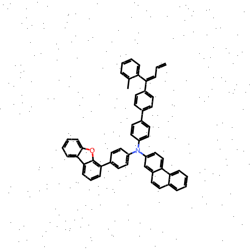 C=C/C=C(/c1ccc(-c2ccc(N(c3ccc(-c4cccc5c4oc4ccccc45)cc3)c3ccc4c(ccc5ccccc54)c3)cc2)cc1)c1ccccc1C